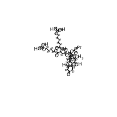 CCCC1O[C@@H]2C[C@H]3[C@@H]4CCC5=CC(=O)C=C[C@]5(C)[C@H]4[C@@H](O)C[C@]3(C)C2(C(=O)COC(=O)CC(NC(=O)CCCCCON(O)O)C(=O)OCCCCON(O)O)O1